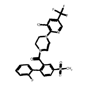 CS(=O)(=O)c1ccc(-c2ccccc2F)c(C(=O)N2CCN(c3ncc(C(F)(F)F)cc3Cl)CC2)c1